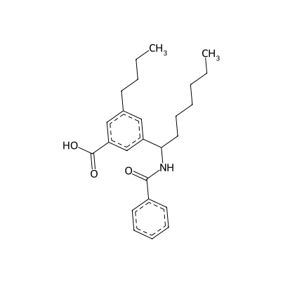 CCCCCCC(NC(=O)c1ccccc1)c1cc(CCCC)cc(C(=O)O)c1